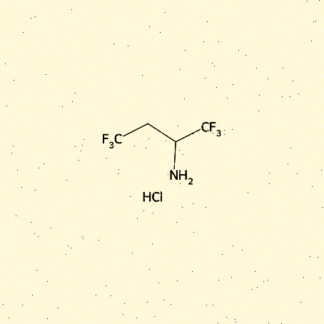 Cl.NC(CC(F)(F)F)C(F)(F)F